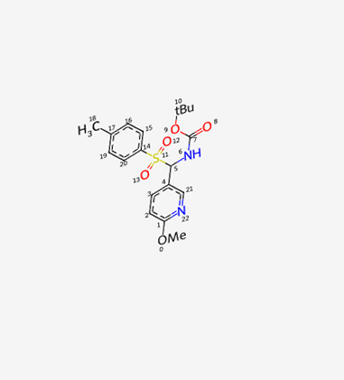 COc1ccc(C(NC(=O)OC(C)(C)C)S(=O)(=O)c2ccc(C)cc2)cn1